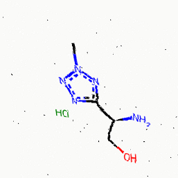 Cl.Cn1nnc([C@@H](N)CO)n1